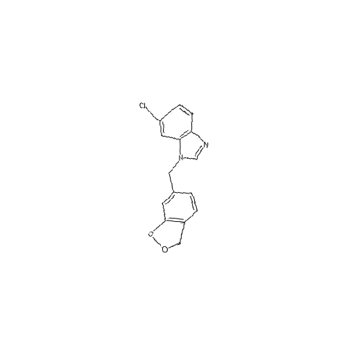 Clc1ccc2ncn(Cc3ccc4c(c3)OOC4)c2c1